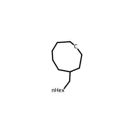 CCCCCCC[C]1CCCCCCCC1